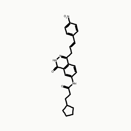 O=C(CCC1CCCC1)Nc1ccc2c(CC=Cc3ccc([N+](=O)[O-])cc3)n[nH]c(=O)c2c1